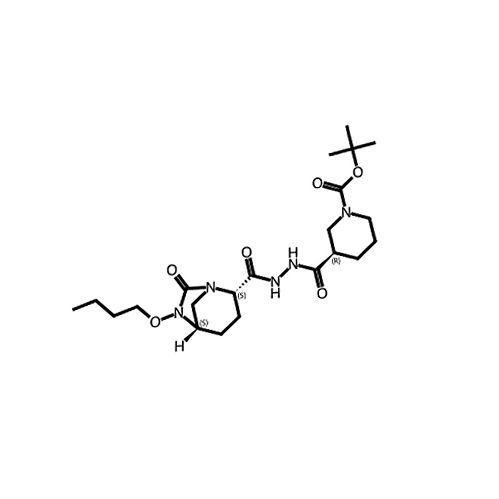 CCCCON1C(=O)N2C[C@@H]1CC[C@H]2C(=O)NNC(=O)[C@@H]1CCCN(C(=O)OC(C)(C)C)C1